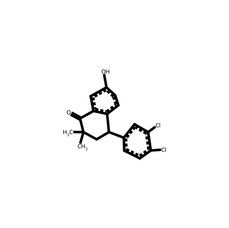 CC1(C)CC(c2ccc(Cl)c(Cl)c2)c2ccc(O)cc2C1=O